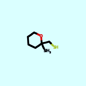 [SiH3]C1(CS)CCCCO1